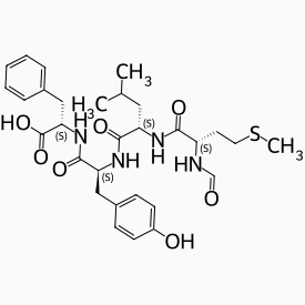 CSCC[C@H](NC=O)C(=O)N[C@@H](CC(C)C)C(=O)N[C@@H](Cc1ccc(O)cc1)C(=O)N[C@@H](Cc1ccccc1)C(=O)O